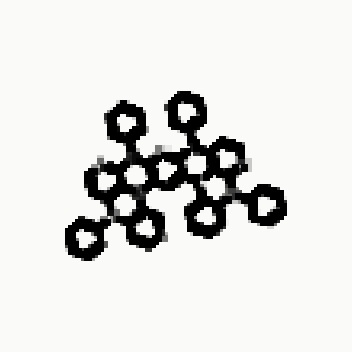 c1ccc(N2c3ccncc3B3c4cc5c(nc4N(c4ccccc4)c4nccc2c43)N(c2ccccc2)c2ccnc3c2B5c2ccccc2N3c2ccccc2)cc1